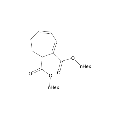 CCCCCCOC(=O)C1=CC=CCCC1C(=O)OCCCCCC